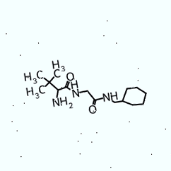 CC(C)(C)C(N)C(=O)NCC(=O)NCC1CCCCC1